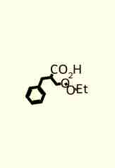 CCOOCC(Cc1ccccc1)C(=O)O